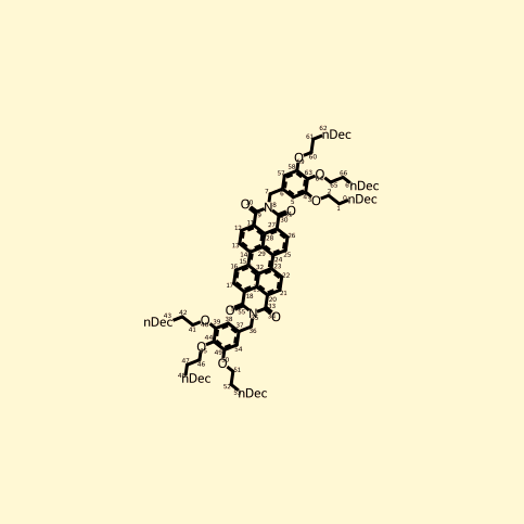 CCCCCCCCCCCCOc1cc(CN2C(=O)c3ccc4c5ccc6c7c(ccc(c8ccc(c3c48)C2=O)c75)C(=O)N(Cc2cc(OCCCCCCCCCCCC)c(OCCCCCCCCCCCC)c(OCCCCCCCCCCCC)c2)C6=O)cc(OCCCCCCCCCCCC)c1OCCCCCCCCCCCC